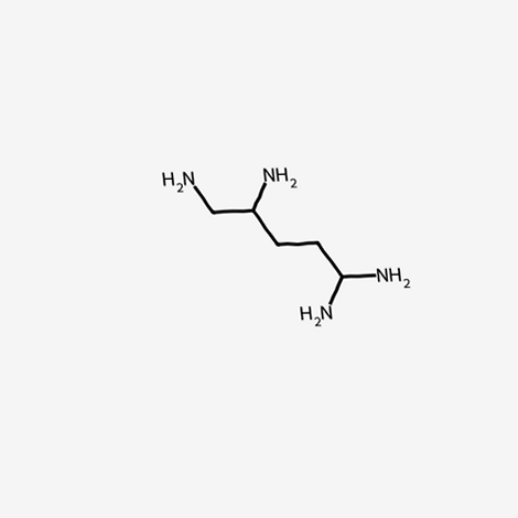 NCC(N)CCC(N)N